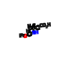 Cc1cc(C(=O)O)ccc1[C@@H]1Nc2ccc(OC(C)C)cc2[C@@H]2CCC[C@@H]21